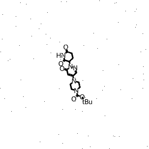 CC(C)(C)OC(=O)N1CCN(c2cnn(C3CCC(=O)NC3=O)c(=O)c2)CC1